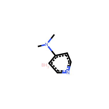 B.CN(C)c1ccncc1